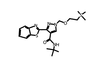 CC(C)(C)NC(=O)c1cn(COCCS(C)(C)C)nc1-c1nc2ccccc2s1